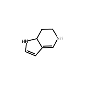 C1=CC2=CNCCC2N1